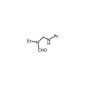 CCN(C=O)CNC(C)=O